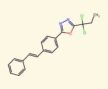 CCC(Cl)(Cl)c1nnc(-c2ccc(/C=C/c3ccccc3)cc2)o1